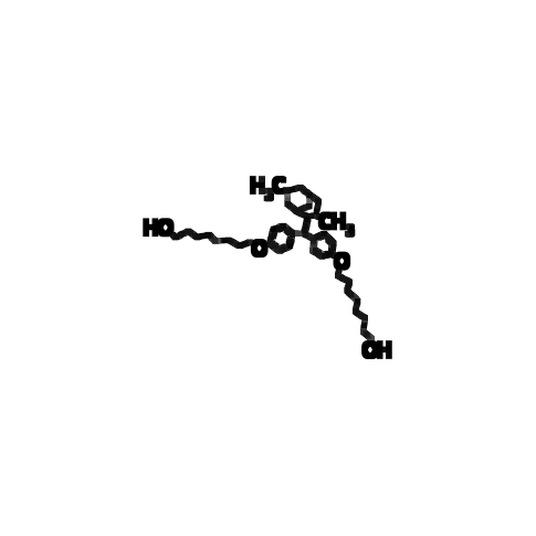 CC1CC2CC(C)C(=C(c3ccc(OCCCCCCCCO)cc3)c3ccc(OCCCCCCCCO)cc3)C(C1)C2